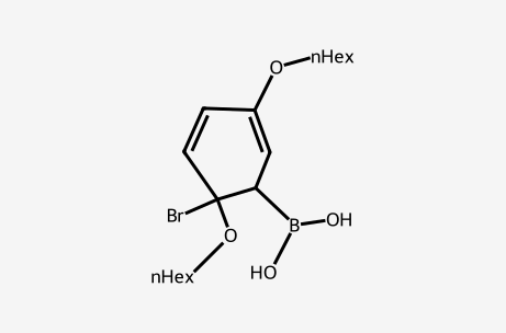 CCCCCCOC1=CC(B(O)O)C(Br)(OCCCCCC)C=C1